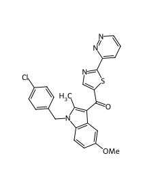 COc1ccc2c(c1)c(C(=O)c1cnc(-c3cccnn3)s1)c(C)n2Cc1ccc(Cl)cc1